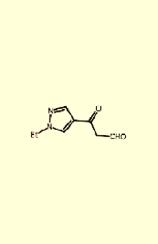 CCn1cc(C(=O)CC=O)cn1